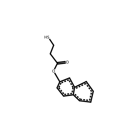 O=C(CCS)Oc1ccc2ccccc2c1